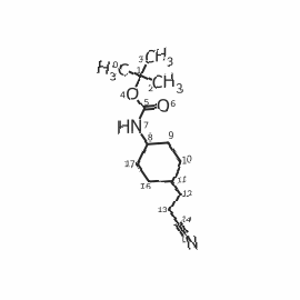 CC(C)(C)OC(=O)NC1CCC(CCC#N)CC1